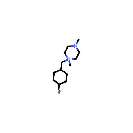 CC(C)C1CCC(C[N+]2(C)CCN(C)CC2)CC1